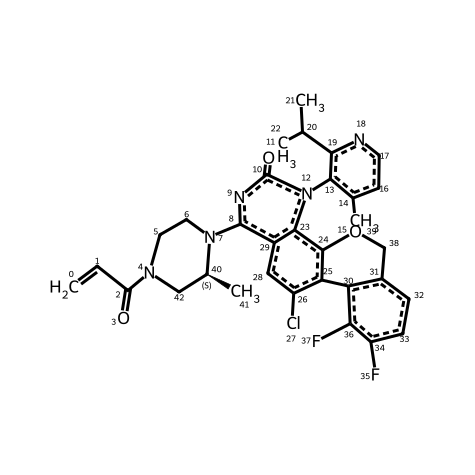 C=CC(=O)N1CCN(c2nc(=O)n(-c3c(C)ccnc3C(C)C)c3c4c(c(Cl)cc23)-c2c(ccc(F)c2F)CO4)[C@@H](C)C1